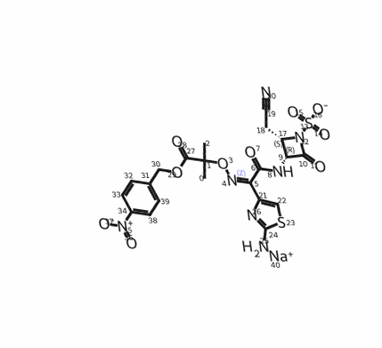 CC(C)(O/N=C(\C(=O)N[C@H]1C(=O)N(S(=O)(=O)[O-])[C@H]1CC#N)c1csc(N)n1)C(=O)OCc1ccc([N+](=O)[O-])cc1.[Na+]